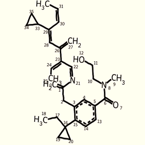 C=C(Cc1cc(C(=O)N(C)CCO)ccc1C1(CC)CC1)/N=C\C(=C/C)C(=C)/C=C(\C=C/C)C1CC1